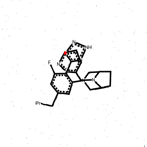 CC(C)Cc1cc(F)c(-c2nn[nH]n2)c(N2CC3CCC(C2)N3Cc2cccnn2)c1